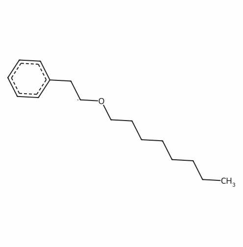 CCCCCCCCO[CH]Cc1ccccc1